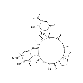 CO[C@]1(C)C[C@H](O[C@H]2[C@H](C)[C@@H](O[C@@H]3O[C@H](C)C[C@H](N(C)C)[C@H]3O)[C@](C)(O)C[C@@H](C)CN(C)C(=O)[C@H]3CCCN3C(=O)C(C(C)C)NC(=O)[C@@H]2C)O[C@@H](C)[C@@H]1O